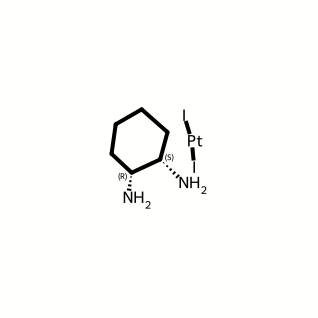 N[C@@H]1CCCC[C@@H]1N.[I][Pt][I]